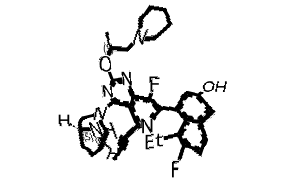 CC#Cc1nc(-c2cc(O)cc3ccc(F)c(CC)c23)c(F)c2nc(O[C@@H](C)CN3CCCCC3)nc(N3C[C@H]4CC[C@@H](C3)N4)c12